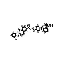 Cc1ccccc1CN1CCc2ccc(C(=O)CCCC3CCN(Cc4ccccc4C(=O)O)CC3)cc2CC1